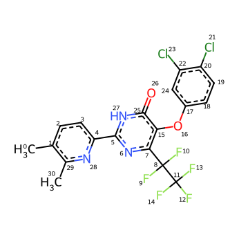 Cc1ccc(-c2nc(C(F)(F)C(F)(F)F)c(Oc3ccc(Cl)c(Cl)c3)c(=O)[nH]2)nc1C